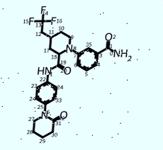 NC(=O)c1cccc(N2CCC(CC(F)(F)F)CC2C(=O)Nc2ccc(N3CCCCC3=O)cc2)c1